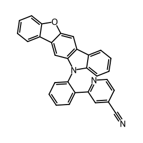 N#Cc1ccnc(-c2ccccc2-n2c3ccccc3c3cc4oc5ccccc5c4cc32)c1